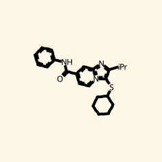 CC(C)c1nc2cc(C(=O)Nc3ccccc3)ccn2c1SC1CCCCC1